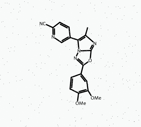 COc1ccc(-c2nn3c(-c4ccc(C#N)nc4)c(C)nc3o2)cc1OC